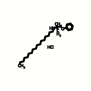 CCCCCCCCCCCCCCCCCNC(C)(C)COc1ccccc1.Cl